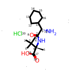 CC(C)(C)[C@](C)(NC(=O)[C@@H](N)C1CCCCC1)C(=O)O.Cl